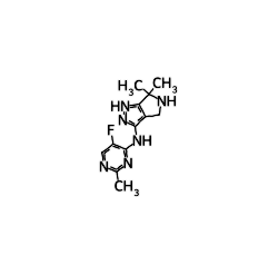 Cc1ncc(F)c(Nc2n[nH]c3c2CNC3(C)C)n1